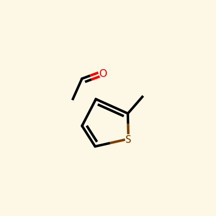 CC=O.Cc1cccs1